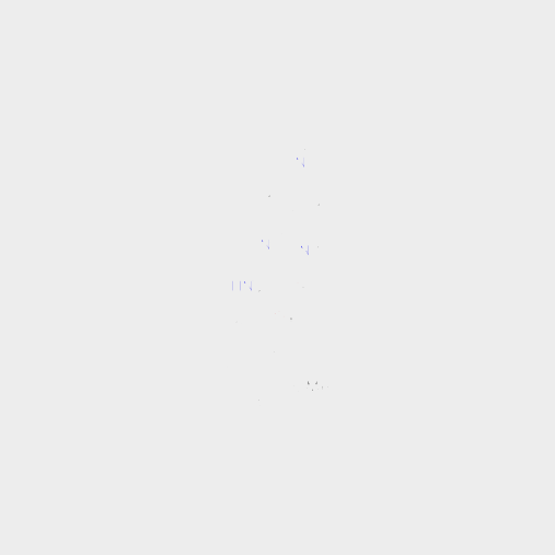 COc1cccc(CC(=O)Nc2nc(-c3ccncc3)no2)c1